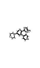 Cc1cnc(-c2ncc(N3CCOCC3)cc2-c2ccncc2)[nH]1